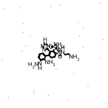 NCCNS(=O)(=O)c1ccc(-c2cccc(NN)c2N)c(-c2nn[nH]n2)c1S(N)(=O)=O